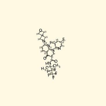 CC(C)(NC(=O)c1cn(-c2ncc(F)cc2F)c2nc(N3CC4(COC4)C3)ccc2c1=O)C(F)(F)C(F)(F)F